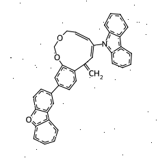 C=C1/C=C(n2c3ccccc3c3ccccc32)\C=C/COCOc2cc(-c3ccc4oc5ccccc5c4c3)ccc21